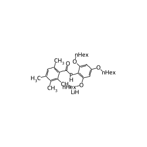 CCCCCCOc1cc(OCCCCCC)c(PC(=O)c2c(C)cc(C)c(C)c2C)c(OCCCCCC)c1.[LiH]